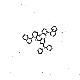 c1ccc(N(c2ccccc2)c2cc3c4c(c2)Oc2c(cccc2-c2cccc5ccccc25)B4c2cccc(-c4cccc5ccccc45)c2O3)cc1